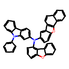 c1ccc(-n2c3ccccc3c3ccc(N(c4ccc5oc6c7ccccc7ccc6c5c4)c4cccc5oc6ccccc6c45)cc32)cc1